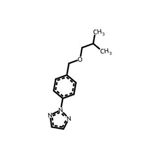 CC(C)COCc1ccc(-n2nccn2)cc1